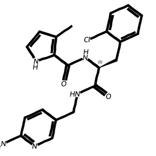 Cc1cc[nH]c1C(=O)N[C@@H](Cc1ccccc1Cl)C(=O)NCc1ccc(N)nc1